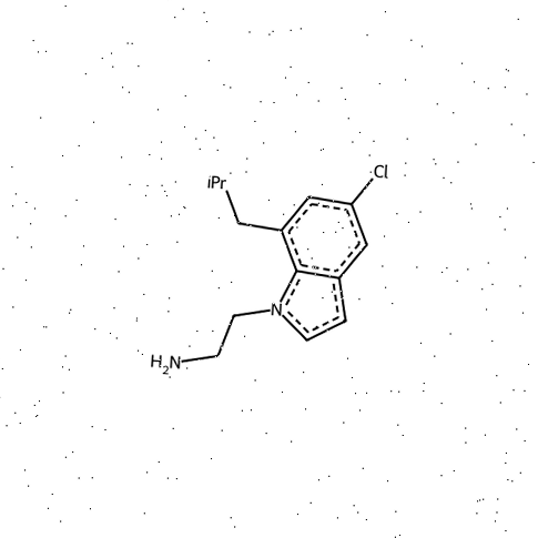 CC(C)Cc1cc(Cl)cc2ccn(CCN)c12